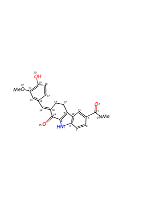 CNC(=O)c1ccc2[nH]c3c(c2c1)CC/C(=C\c1ccc(O)c(OC)c1)C3=O